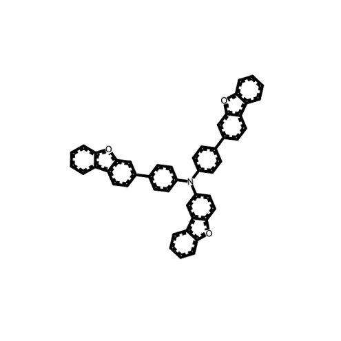 c1ccc2c(c1)oc1cc(-c3ccc(N(c4ccc(-c5ccc6c(c5)oc5ccccc56)cc4)c4ccc5oc6ccccc6c5c4)cc3)ccc12